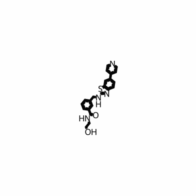 O=C(NCCO)c1cccc(CNc2nc3ccc(-c4ccncc4)cc3s2)c1